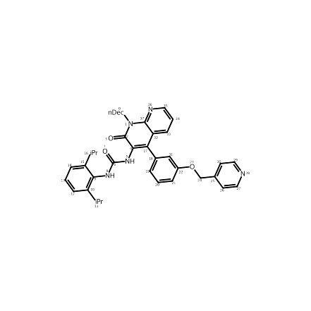 CCCCCCCCCCn1c(=O)c(NC(=O)Nc2c(C(C)C)cccc2C(C)C)c(-c2cccc(OCc3ccncc3)c2)c2cccnc21